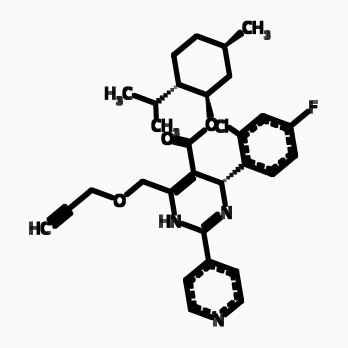 C#CCOCC1=C(C(=O)O[C@@H]2C[C@H](C)CC[C@H]2C(C)C)[C@H](c2ccc(F)cc2Cl)N=C(c2ccncc2)N1